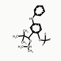 C[SiH](C)OC(c1cc(Nc2ccccc2)ccc1OC(F)(F)F)C(C)(C)C